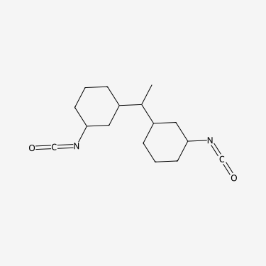 CC(C1CCCC(N=C=O)C1)C1CCCC(N=C=O)C1